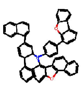 C1=CC(c2ccccc2)C(N(c2ccc(-c3cccc4c3oc3ccccc34)cc2)c2cccc3oc4c5ccccc5ccc4c23)C=C1c1cccc2ccccc12